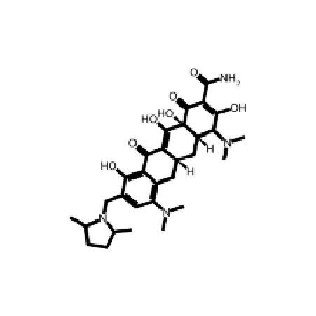 CC1CCC(C)N1Cc1cc(N(C)C)c2c(c1O)C(=O)C1=C(O)[C@]3(O)C(=O)C(C(N)=O)=C(O)C(N(C)C)[C@@H]3C[C@@H]1C2